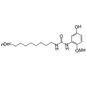 CCCCCCCCCCCCCCCCCCNC(=O)Nc1cc(O)ccc1OC